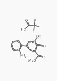 COC(=O)c1cc(-c2ccccc2N)cn(O)c1=O.O=C(O)C(F)(F)F